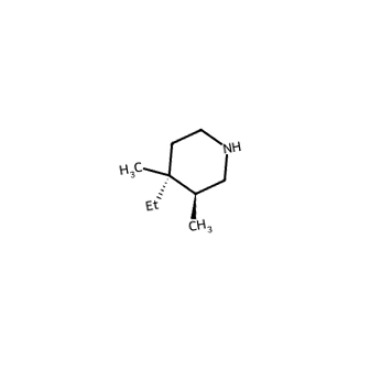 CC[C@]1(C)CCNC[C@H]1C